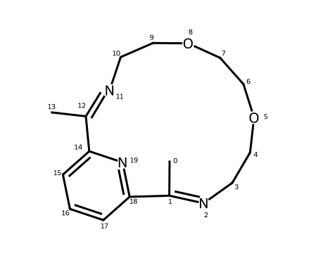 C/C1=N\CCOCCOCC/N=C(\C)c2cccc1n2